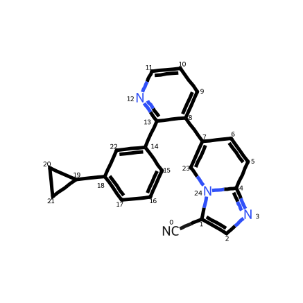 N#Cc1cnc2ccc(-c3cccnc3-c3cccc(C4CC4)c3)cn12